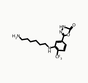 NCCCCCCNc1cc(-c2n[nH]c(=O)o2)ccc1C(F)(F)F